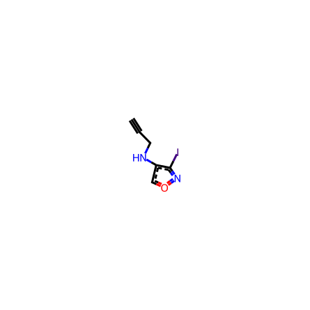 C#CCNc1conc1I